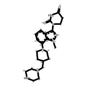 Cn1nc(N2CCC(=O)NC2=O)c2cccc(N3CCC(CN4CCNCC4)CC3)c21